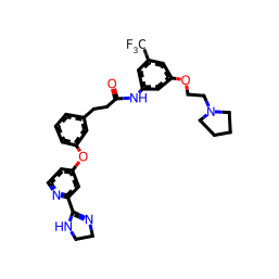 O=C(CCc1cccc(Oc2ccnc(C3=NCCN3)c2)c1)Nc1cc(OCCN2CCCC2)cc(C(F)(F)F)c1